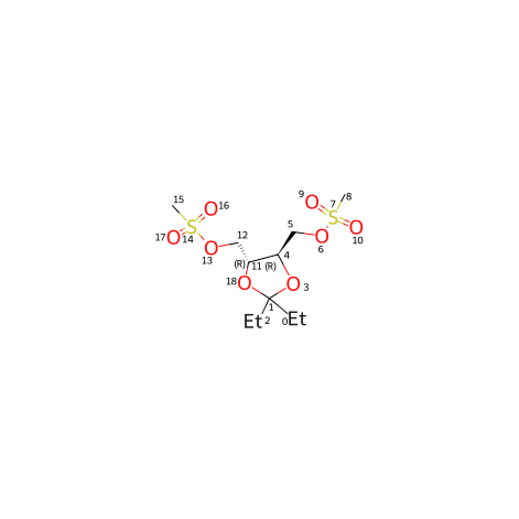 CCC1(CC)O[C@H](COS(C)(=O)=O)[C@@H](COS(C)(=O)=O)O1